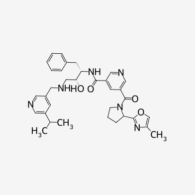 Cc1coc(C2CCCN2C(=O)c2cncc(C(=O)N[C@@H](Cc3ccccc3)[C@H](O)CNCc3cncc(C(C)C)c3)c2)n1